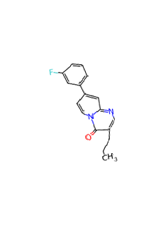 CCCc1cnc2cc(-c3cccc(F)c3)ccn2c1=O